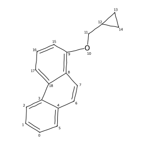 c1ccc2c(c1)ccc1c(OCC3CC3)cccc12